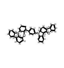 c1cc(-c2ccc(-n3c4ccccc4c4c5oc6ccccc6c5ccc43)cc2)c2c(c1)-n1c3ccccc3c3cccc(c31)O2